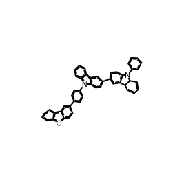 C1=CC2c3cc(-c4ccc5c(c4)c4ccccc4n5-c4ccc(-c5ccc6oc7ccccc7c6c5)cc4)ccc3N(c3ccccc3)C2C=C1